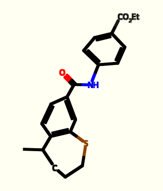 CCOC(=O)c1ccc(NC(=O)c2ccc3c(c2)SCCCC3C)cc1